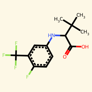 CC(C)(C)C(Nc1ccc(F)c(C(F)(F)F)c1)C(=O)O